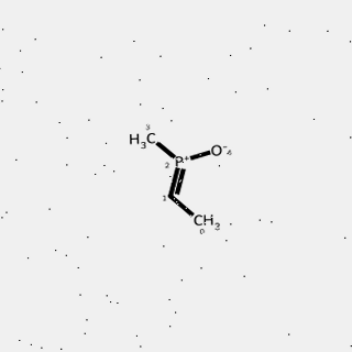 CC=[P+](C)[O-]